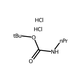 CCCNC(=O)OC(C)(C)C.Cl.Cl